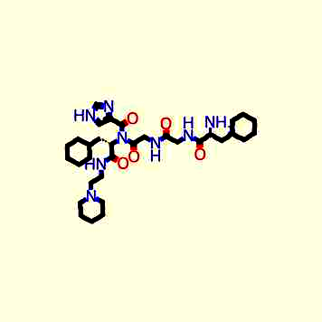 N[C@@H](CC1CCCCC1)C(=O)NCC(=O)NCC(=O)N(C(=O)c1c[nH]cn1)[C@@H](CC1CCCCC1)C(=O)NCCN1CCCCC1